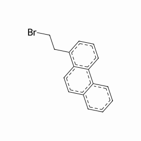 BrCCc1cccc2c1ccc1ccccc12